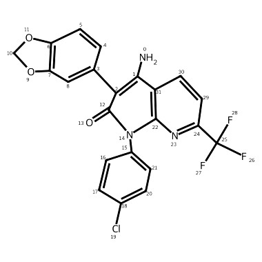 Nc1c(-c2ccc3c(c2)OCO3)c(=O)n(-c2ccc(Cl)cc2)c2nc(C(F)(F)F)ccc12